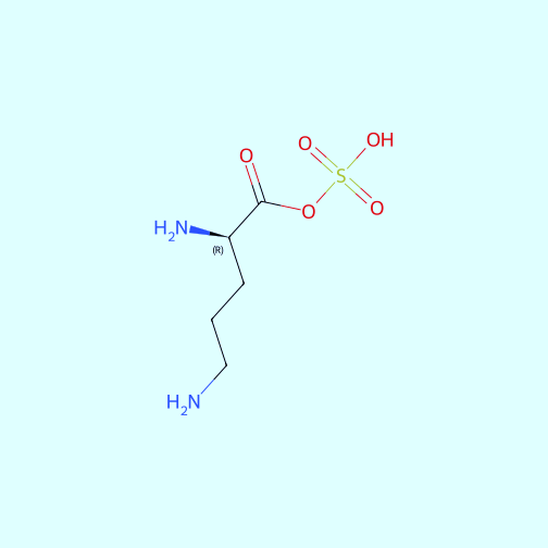 NCCC[C@@H](N)C(=O)OS(=O)(=O)O